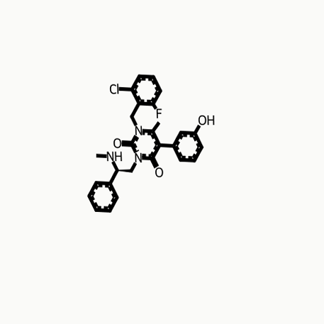 CN[C@@H](Cn1c(=O)c(-c2cccc(O)c2)c(C)n(Cc2c(F)cccc2Cl)c1=O)c1ccccc1